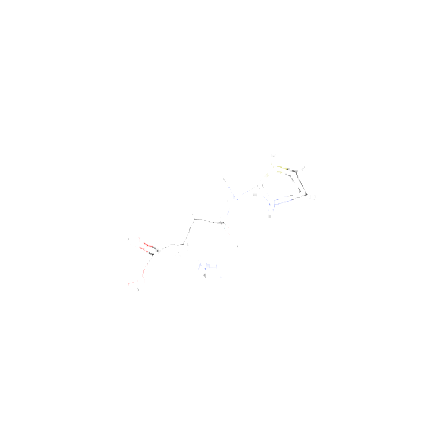 CN(C(=O)C[C@H](N)C(=O)O)c1nccs1